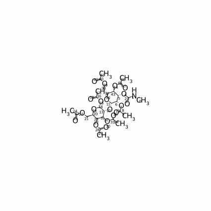 CNC(=O)O[C@@H]1[C@H](OC(C)=O)[C@H](O[C@H]2[C@@H](OC(C)=O)O[C@H](COC(C)=O)[C@H](OC(C)=O)[C@H]2OC(C)=O)O[C@H](COC(C)=O)[C@H]1OC(C)=O